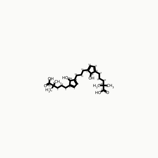 CC(C)(CCCC1=CC=C(CCCC2=CC=C(CCCC(C)(C)C(=O)O)C2O)C1O)C(=O)O